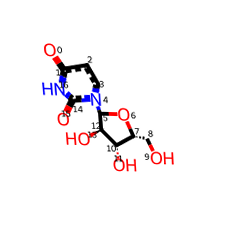 O=c1ccn(C2O[C@H](CO)[C@H](O)[C@H]2O)c(=O)[nH]1